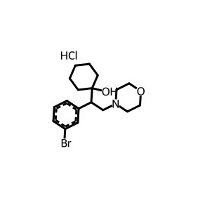 Cl.OC1(C(CN2CCOCC2)c2cccc(Br)c2)CCCCC1